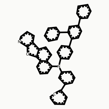 c1ccc(-c2cccc(N(c3ccc(-c4ccc(-c5ccccc5)cc4-c4ccccc4)cc3)c3cccc4c3ccc3c5cccnc5oc43)c2)cc1